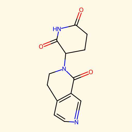 O=C1CCC(N2CCc3ccncc3C2=O)C(=O)N1